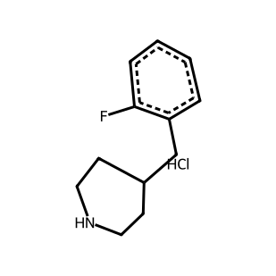 Cl.Fc1ccccc1CC1CCNCC1